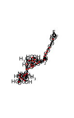 CC(=O)N[C@H]1[C@H]([C@H](OC(=O)N(C)CCOCCN(CCOCCOCCOCCOCc2cn(CCOCCOCCOCCOCCC(=O)Oc3c(F)cc(F)cc3F)nn2)CCOCCN(C)C(=O)O[C@@H]([C@@H]2OC(C(C)=O)=C[C@H](NC(=N)N)[C@H]2C)[C@H](O)CO)[C@H](O)CO)OC(C(=O)O)=C[C@@H]1NC(=N)N